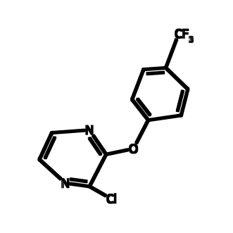 FC(F)(F)c1ccc(Oc2nccnc2Cl)cc1